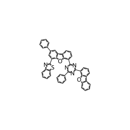 c1ccc(-c2cc(-c3nc4ccccc4s3)c3oc4c(-c5nc(-c6ccccc6)nc(-c6cccc7c6oc6ccccc67)n5)cccc4c3c2)cc1